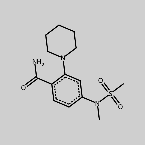 CN(c1ccc(C(N)=O)c(N2CCCCC2)c1)S(C)(=O)=O